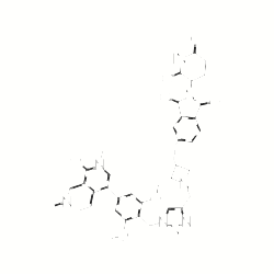 C=N/C=c1/c(=O)n(C)cc(-c2cc(OC)c(Cn3cc(CN4CC(Oc5ccc6c(c5)C(=O)N(C5CCC(=O)NC5=O)C6=O)C4)nn3)c(OC)c2)/c1=C/C